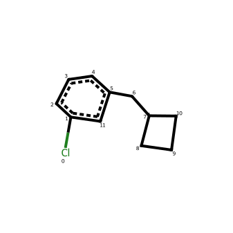 Clc1cccc(C[C]2CCC2)c1